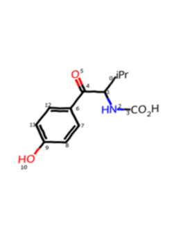 CC(C)C(NC(=O)O)C(=O)c1ccc(O)cc1